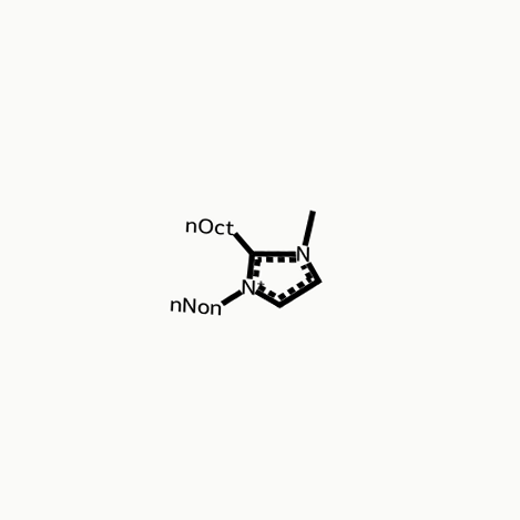 CCCCCCCCC[n+]1ccn(C)c1CCCCCCCC